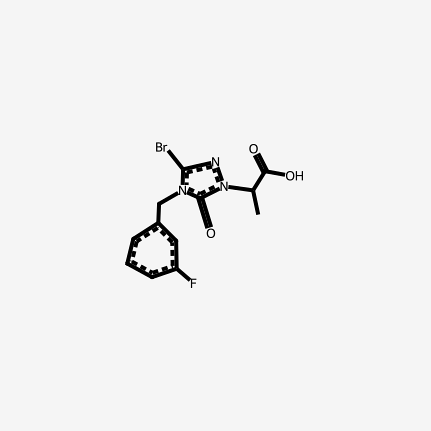 CC(C(=O)O)n1nc(Br)n(Cc2cccc(F)c2)c1=O